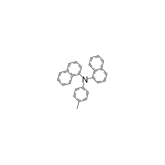 Cc1ccc(N(c2cccc3ccccc23)c2cccc3ccccc23)cc1